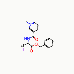 CCC(NC(=O)c1ccc[n+](C)c1)C(=O)OCc1ccccc1.[I-]